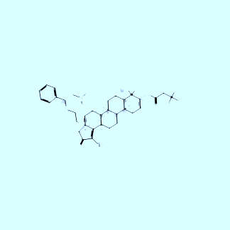 CC(C)C1=C2[C@H]3CC[C@@H]4[C@@]5(C)CC[C@H](OC(=O)CC(C)(C)C(=O)O)C(C)(C)[C@@H]5CC[C@@]4(C)[C@]3(C)CC[C@@]2(CCN[C@@H](CN(C)C)c2ccccc2)CC1=O